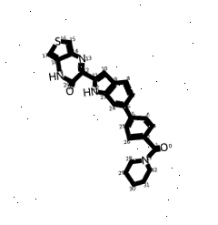 O=C(c1ccc(-c2ccc3cc(-c4nc5cscc5[nH]c4=O)[nH]c3c2)cc1)N1CCCCC1